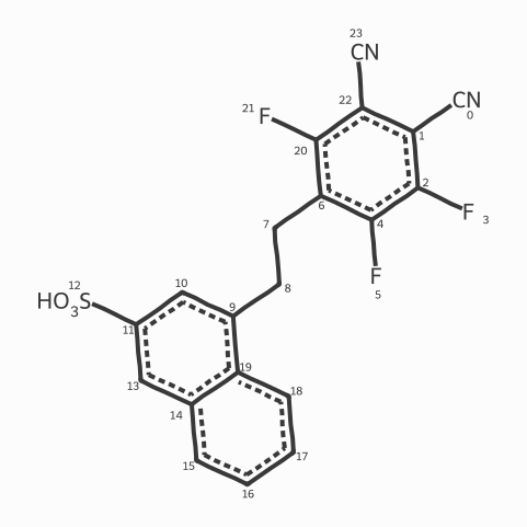 N#Cc1c(F)c(F)c(CCc2cc(S(=O)(=O)O)cc3ccccc23)c(F)c1C#N